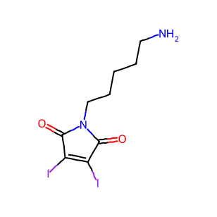 NCCCCCN1C(=O)C(I)=C(I)C1=O